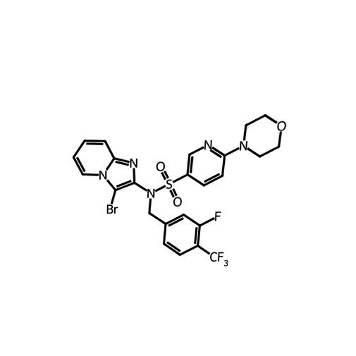 O=S(=O)(c1ccc(N2CCOCC2)nc1)N(Cc1ccc(C(F)(F)F)c(F)c1)c1nc2ccccn2c1Br